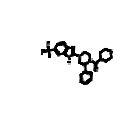 O=C(C1CCSCC1)N1CCN(c2nc3ccc(C(F)(F)F)cc3[nH]2)CC1c1ccccc1